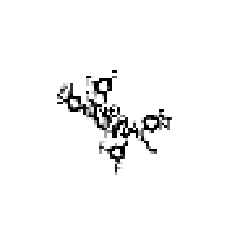 C=CCCN(C(=O)[C@H](Cc1cc(F)cc(F)c1)NC(=O)N[S+]([O-])N[C@@H](Cc1cc(F)cc(F)c1)C(=O)N(CCC=C)c1ccc2scnc2c1)c1ccc2scnc2c1